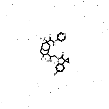 CC1CC2CC(CC(C)(C(=O)Nc3ccncc3)C2)C1C(N)CNC(=O)C1(c2ccc(F)cc2)CC1